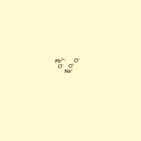 [Cl-].[Cl-].[Cl-].[Na+].[Pb+2]